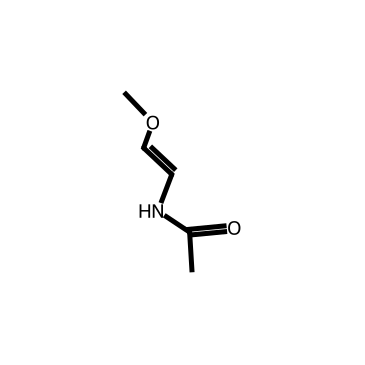 COC=CNC(C)=O